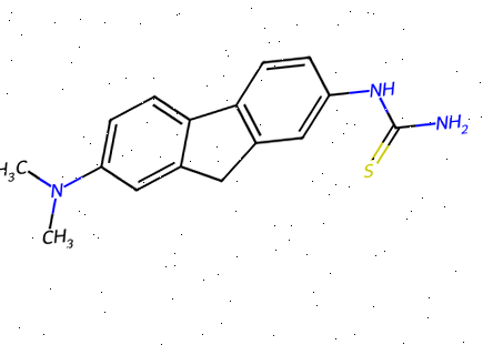 CN(C)c1ccc2c(c1)Cc1cc(NC(N)=S)ccc1-2